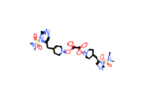 CN(C)S(=O)(=O)n1cncc1CC1CCN(OC(=O)C(=O)ON2CCC(Cc3cncn3S(=O)(=O)N(C)C)CC2)CC1